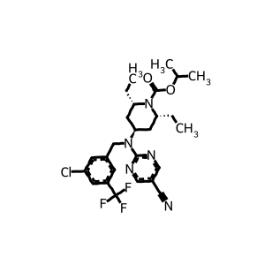 CC[C@@H]1C[C@@H](N(Cc2cc(Cl)cc(C(F)(F)F)c2)c2ncc(C#N)cn2)C[C@H](CC)N1C(=O)OC(C)C